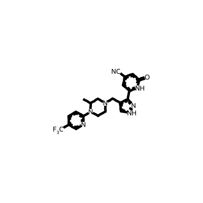 CC1CN(Cc2c[nH]nc2-c2cc(C#N)cc(=O)[nH]2)CCN1c1ccc(C(F)(F)F)cn1